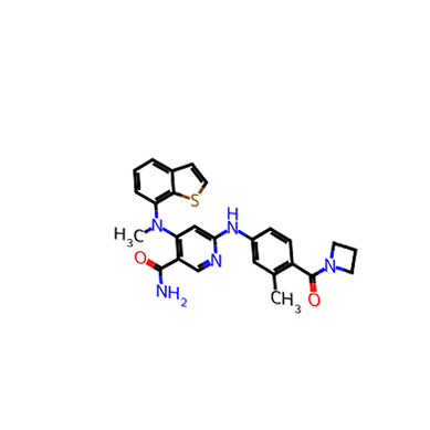 Cc1cc(Nc2cc(N(C)c3cccc4ccsc34)c(C(N)=O)cn2)ccc1C(=O)N1CCC1